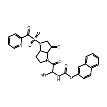 CCCC(NC(=O)Oc1ccc2ccccc2c1)C(=O)N1CCC2C1C(=O)CN2S(=O)(=O)C(=O)c1ccccn1